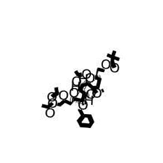 COC12CC[C@H](CCOC(=O)C(C)(C)C)O[C@@H]1[C@@H](OC(C)=O)[C@@H]1O[C@H](CC(COC(C)=O)OC(C)=O)[C@H](OCc3ccccc3)[C@@H]1O2